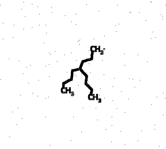 [CH2]CCC(CCCC)CCCC